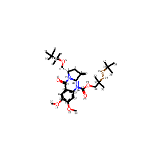 C=C1C[C@@H](CO[Si](C)(C)C(C)(C)C)N(C(=O)c2cc(OC)c(OC)cc2NC(=O)OCC(C)(C)SSC(C)(C)C)C1